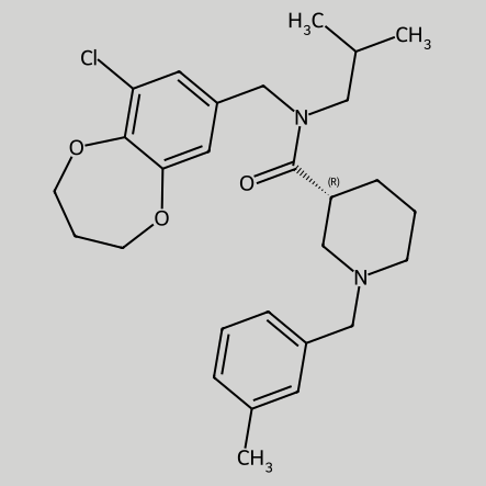 Cc1cccc(CN2CCC[C@@H](C(=O)N(Cc3cc(Cl)c4c(c3)OCCCO4)CC(C)C)C2)c1